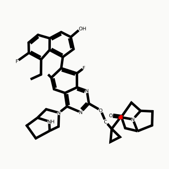 CCc1c(F)ccc2cc(O)cc(-c3c(C)cc4c(N5CC6CCC(C5)N6)nc(OCC5(CN6C7CCC6CC(=O)C7)CC5)nc4c3F)c12